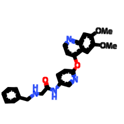 COc1cc2nccc(Oc3ccc(NC(=O)CNCc4ccccc4)cn3)c2cc1OC